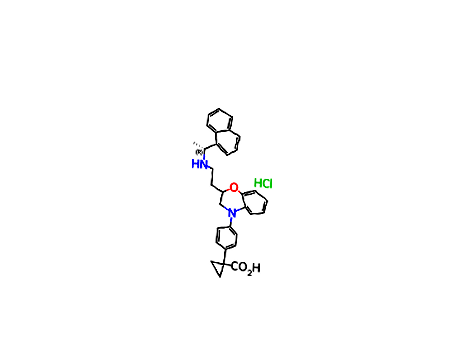 C[C@@H](NCCC1CN(c2ccc(C3(C(=O)O)CC3)cc2)c2ccccc2O1)c1cccc2ccccc12.Cl